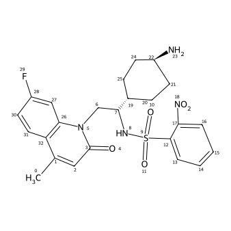 Cc1cc(=O)n(CC(NS(=O)(=O)c2ccccc2[N+](=O)[O-])[C@H]2CC[C@H](N)CC2)c2cc(F)ccc12